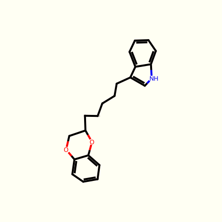 [CH](CCCc1c[nH]c2ccccc12)CC1COc2ccccc2O1